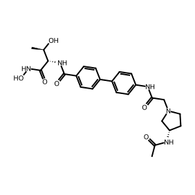 CC(=O)N[C@H]1CCN(CC(=O)Nc2ccc(-c3ccc(C(=O)N[C@H](C(=O)NO)[C@@H](C)O)cc3)cc2)C1